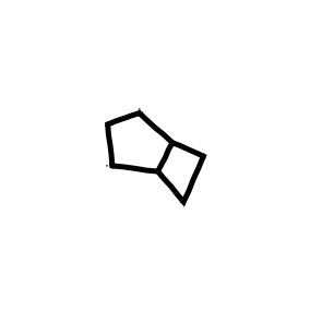 [CH]1C[CH]C2CCC12